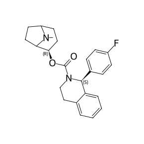 CN1C2CCC1[C@H](OC(=O)N1CCc3ccccc3[C@@H]1c1ccc(F)cc1)CC2